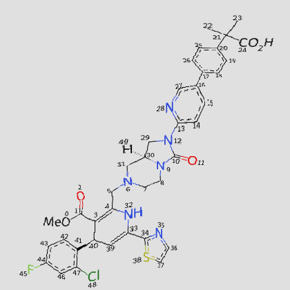 COC(=O)C1=C(CN2CCN3C(=O)N(c4ccc(-c5ccc(C(C)(C)C(=O)O)cc5)cn4)C[C@@H]3C2)NC(c2nccs2)=C[C@H]1c1ccc(F)cc1Cl